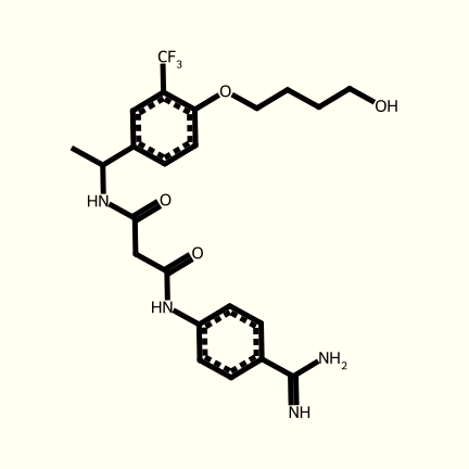 CC(NC(=O)CC(=O)Nc1ccc(C(=N)N)cc1)c1ccc(OCCCCO)c(C(F)(F)F)c1